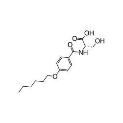 CCCCCCOc1ccc(C(=O)N[C@@H](CO)C(=O)O)cc1